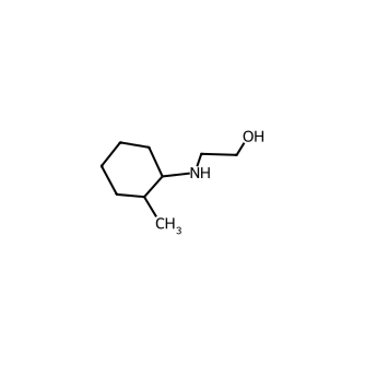 CC1CCCCC1NCCO